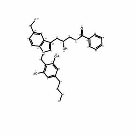 CCCCc1cc(O)c(Cn2cc(C[C@H](O)COC(=O)c3ccccc3)c3cc(CF)ccc32)c(O)c1